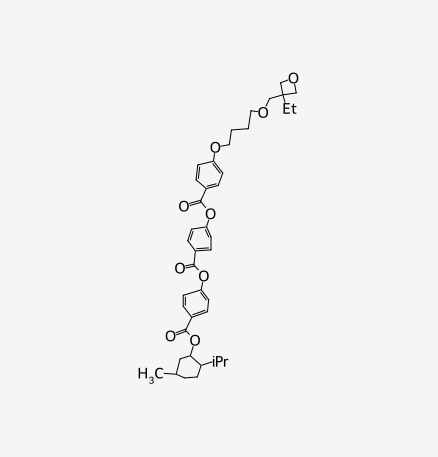 CCC1(COCCCCOc2ccc(C(=O)Oc3ccc(C(=O)Oc4ccc(C(=O)OC5CC(C)CCC5C(C)C)cc4)cc3)cc2)COC1